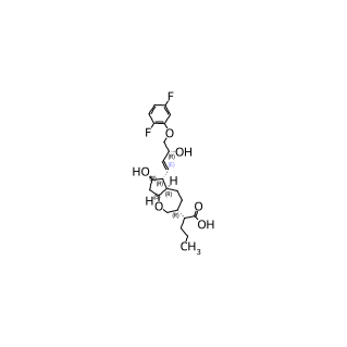 CCCC(C(=O)O)[C@H]1CC[C@@H]2[C@@H](/C=C/[C@@H](O)COc3cc(F)ccc3F)[C@H](O)C[C@@H]2OC1